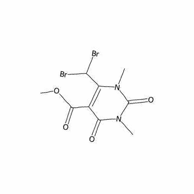 COC(=O)c1c(C(Br)Br)n(C)c(=O)n(C)c1=O